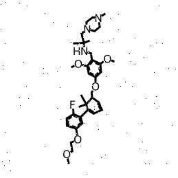 COCCOc1ccc(F)c(C2=CC=CC(COc3cc(OC)c(CNC(C)(C)CN4CCN(C)CC4)c(OC)c3)C2(C)C)c1